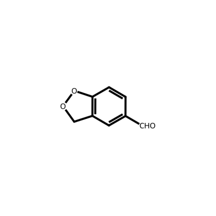 O=Cc1ccc2c(c1)COO2